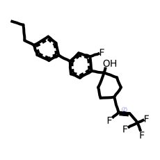 CCCc1ccc(-c2ccc(C3(O)CCC(/C(F)=C/C(F)(F)F)CC3)c(F)c2)cc1